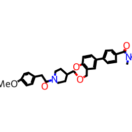 COc1ccc(CC(=O)N2CCC(C3OCc4cc(-c5ccc(C(=O)N(C)C)cc5)ccc4O3)CC2)cc1